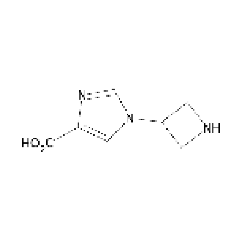 O=C(O)c1cn(C2CNC2)cn1